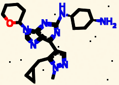 Cn1ncc(-c2nc(N[C@H]3CC[C@H](N)CC3)nc3c2ncn3C2CCCCO2)c1CC1CC1